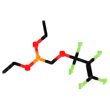 CCOP(COC(F)(F)C(F)=C(F)F)OCC